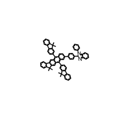 CC1(C)c2ccccc2-c2ccc(-c3c4ccc(-c5ccc(-c6nc7ccccc7n6-c6ccccc6)cc5)cc4c(-c4ccc5c(c4)C(C)(C)c4ccccc4-5)c4cc5c(cc34)-c3ccccc3C5(C)C)cc21